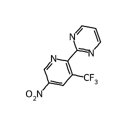 O=[N+]([O-])c1cnc(-c2ncccn2)c(C(F)(F)F)c1